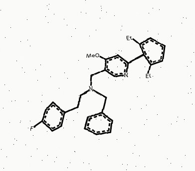 CCc1cccc(CC)c1-c1cc(OC)c(CN(CCc2ccc(F)cc2)Cc2ccccc2)cn1